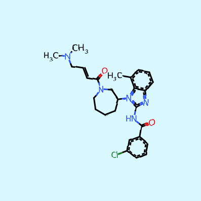 Cc1cccc2nc(NC(=O)c3cccc(Cl)c3)n(C3CCCCN(C(=O)C=CCN(C)C)C3)c12